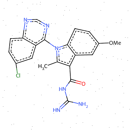 COc1ccc2c(c1)c(C(=O)NC(=N)N)c(C)n2-c1ncnc2ccc(Cl)cc12